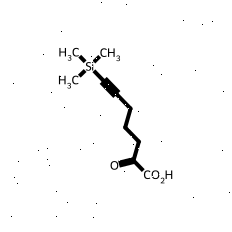 C[Si](C)(C)C#CCCCC(=O)C(=O)O